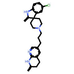 C=C1CCc2cc(CCCN3CCC4(CC3)C(=C)Nc3ccc(Cl)cc34)cnc2N1